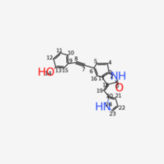 O=C1Nc2ccc(C#Cc3cccc(O)c3)cc2/C1=C/c1ccc[nH]1